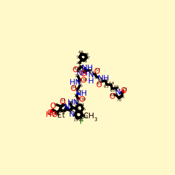 CC[C@@]1(O)C(=O)OCc2c1cc1n(c2=O)Cc2c-1nc1cc(F)c(C)c3c1c2[C@@H](NC(=O)CNC(=O)CNC(=O)CNC(=O)[C@H](Cc1ccccc1)NC(=O)CNC(=O)CNC(=O)CCCCCN1C(=O)C=CC1=O)CC3